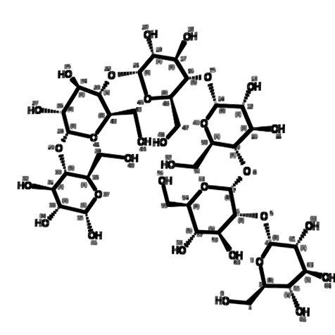 OC[C@H]1O[C@H](O[C@H]2[C@@H](O[C@H]3[C@H](O)[C@@H](O)[C@@H](O[C@H]4[C@H](O)[C@@H](O)[C@@H](O[C@H]5[C@H](O)[C@@H](O)[C@@H](O[C@H]6[C@H](O)[C@@H](O)[C@@H](O)O[C@@H]6CO)O[C@@H]5CO)O[C@@H]4CO)O[C@@H]3CO)O[C@H](CO)[C@@H](O)[C@@H]2O)[C@H](O)[C@@H](O)[C@@H]1O